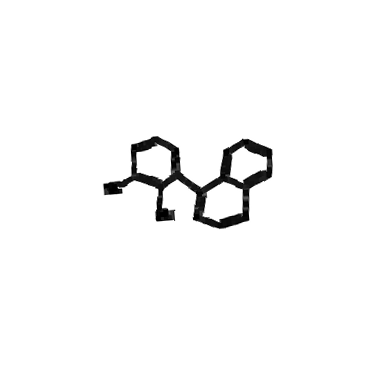 CC(C)(C)c1c(C#N)cccc1-c1cccc2ccccc12